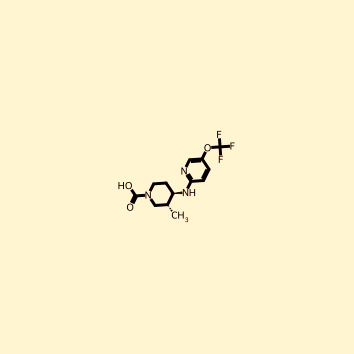 C[C@@H]1CN(C(=O)O)CC[C@H]1Nc1ccc(OC(F)(F)F)cn1